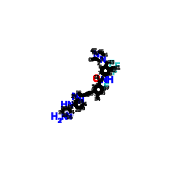 C=C1CN(Cc2ccc(NC(=O)c3cc(C#Cc4cnc5c(NC(/C=N\N)=C/C)cccn45)c(C)cc3F)cc2C(F)(F)F)CCN1C